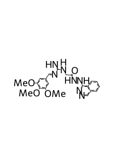 COc1cc(C=NC(=N)NCC(=O)NNc2nncc3ccccc23)cc(OC)c1OC